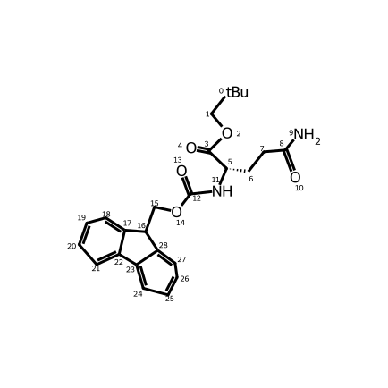 CC(C)(C)COC(=O)[C@H](CCC(N)=O)NC(=O)OCC1c2ccccc2-c2ccccc21